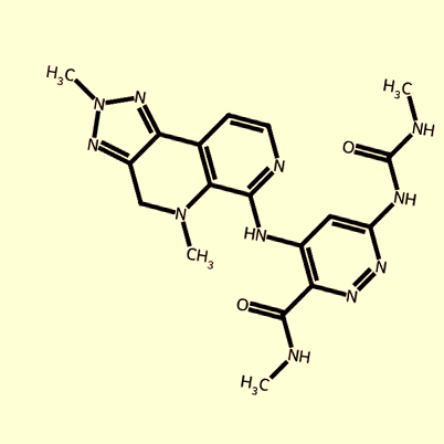 CNC(=O)Nc1cc(Nc2nccc3c2N(C)Cc2nn(C)nc2-3)c(C(=O)NC)nn1